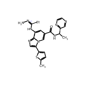 CC/C(=N/N)Nc1cc(C(=O)NC(C)c2cnccn2)cn2c(-c3ccc(C)s3)cnc12